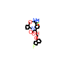 Cc1c2c(nn1C)COCc1ccccc1Cn1c(C(=O)O)c(CCCOc3cccc4cc(F)ccc34)c3ccc(F)c-2c31